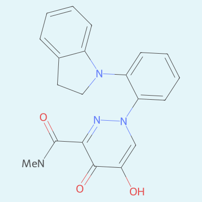 CNC(=O)c1nn(-c2ccccc2N2CCc3ccccc32)cc(O)c1=O